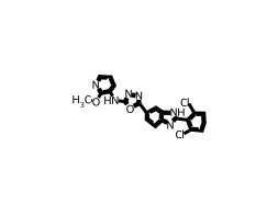 COc1ncccc1Nc1nnc(-c2ccc3nc(-c4c(Cl)cccc4Cl)[nH]c3c2)o1